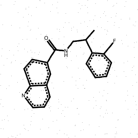 CC(CNC(=O)c1ccc2ncccc2c1)c1ccccc1F